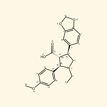 CCN1C[C@H](c2ccc3c(c2)OCO3)[C@@H](C(=O)O)[C@@H]1c1ccc(OC)cc1